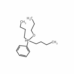 CCCC[PH](CCCC)(OCCC)c1ccccc1